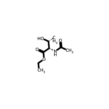 CCOC(=O)[C@@H](NC(C)=O)[C@@H](C)O